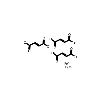 O=C([O-])/C=C/C(=O)[O-].O=C([O-])/C=C/C(=O)[O-].O=C([O-])/C=C/C(=O)[O-].[Fe+3].[Fe+3]